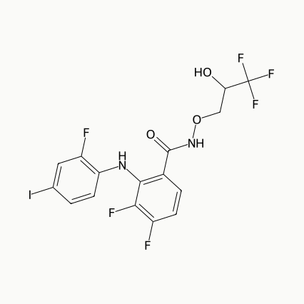 O=C(NOCC(O)C(F)(F)F)c1ccc(F)c(F)c1Nc1ccc(I)cc1F